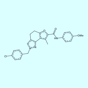 COc1ccc(NC(=O)c2oc3c(c2C)-c2nn(Cc4ccc(Cl)cc4)cc2CC3)cc1